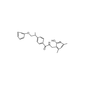 Cc1cc(C)c(CNC(=O)c2ccc(C(C)COc3ccccc3)cc2)c(O)n1